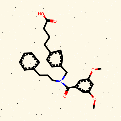 COc1cc(OC)cc(C(=O)N(CCCc2ccccc2)Cc2ccc(CCCC(=O)O)cc2)c1